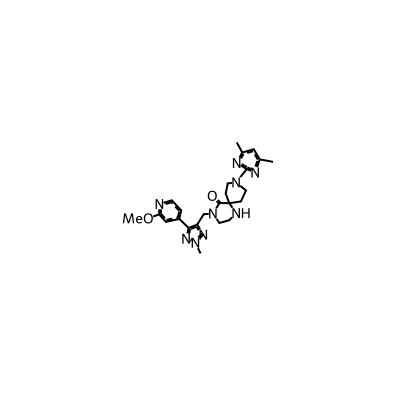 COc1cc(-c2nn(C)nc2CN2CCNC3(CCN(c4nc(C)cc(C)n4)CC3)C2=O)ccn1